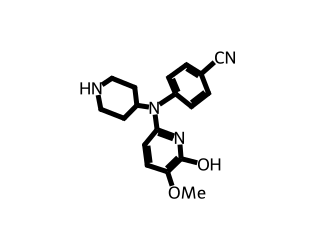 COc1ccc(N(c2ccc(C#N)cc2)C2CCNCC2)nc1O